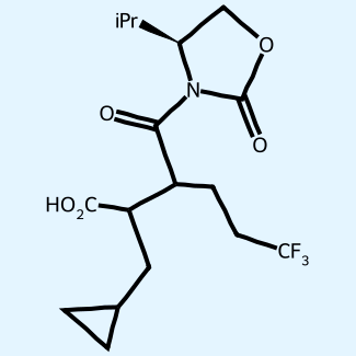 CC(C)[C@H]1COC(=O)N1C(=O)C(CCC(F)(F)F)C(CC1CC1)C(=O)O